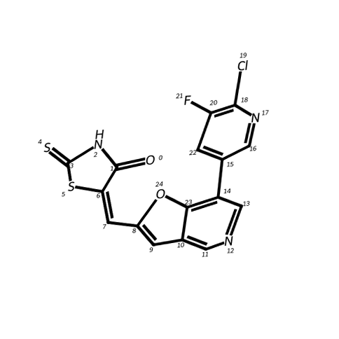 O=C1NC(=S)SC1=Cc1cc2cncc(-c3cnc(Cl)c(F)c3)c2o1